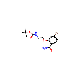 CC(C)(C)OC(=O)NCCOc1cc(Br)ccc1C(N)=O